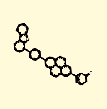 O=C1CC2C=CC1C(c1cc3ccc4cc(-c5ccc(-c6cccc7c6sc6ccccc67)cc5)cc5ccc(c1)c3c45)=C2